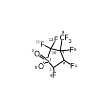 O=S1(=O)C(F)C(F)C(F)(C(F)(F)F)C1(F)F